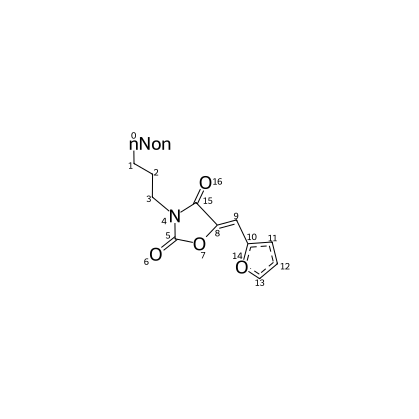 CCCCCCCCCCCCN1C(=O)OC(=Cc2ccco2)C1=O